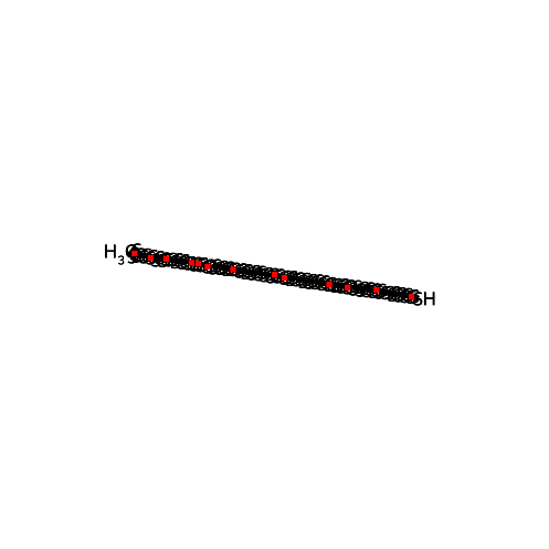 CS(=S)(=S)SSSSSSSSSSSSSSSSSSSSSSSSSSSSSSSSSSSSSSSSSSSSSSSSSSSSSSSSSSSSSSSSSSSSSSSSSSSSSSSSSSSSSSSSS